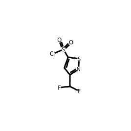 O=S(=O)(Cl)c1cc(C(F)F)ns1